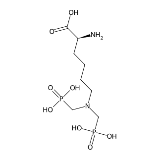 N[C@@H](CCCCN(CP(=O)(O)O)CP(=O)(O)O)C(=O)O